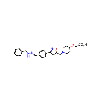 O=C(O)COC1CCN(CC2CC(c3ccc(C=NNCc4ccccc4)cc3)=NO2)CC1